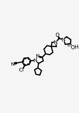 N#Cc1ccc(N2N=C(C3CCC4(CC3)CN(C(=O)N3CC[C@@H](O)C3)C4)CC2C2CCCC2)cc1Cl